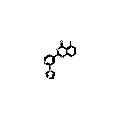 Cc1cccc2nc(-c3ccnc(-n4ccnc4)c3)oc(=O)c12